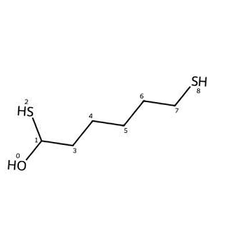 OC(S)CCCCCS